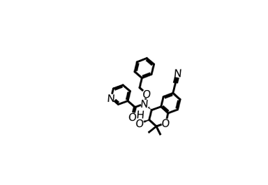 CC1(C)Oc2ccc(C#N)cc2[C@@H](N(OCc2ccccc2)C(=O)c2cccnc2)[C@@H]1O